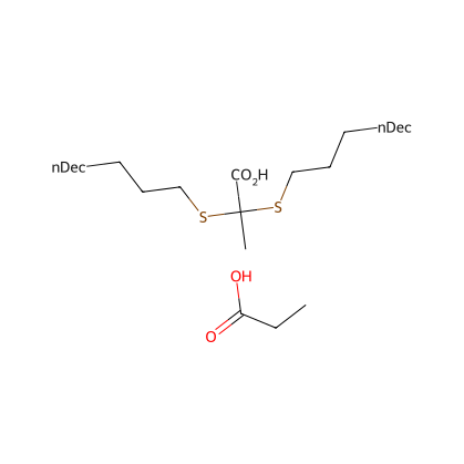 CCC(=O)O.CCCCCCCCCCCCCSC(C)(SCCCCCCCCCCCCC)C(=O)O